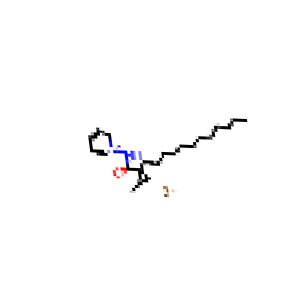 CCCCCCCCCCCCC1(C(=O)N[n+]2ccccc2)CC1C.[Br-]